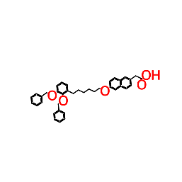 O=C(O)Cc1ccc2cc(OCCCCCCc3cccc(OCc4ccccc4)c3OCc3ccccc3)ccc2c1